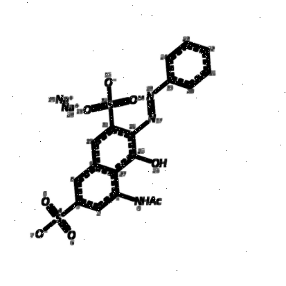 CC(=O)Nc1cc(S(=O)(=O)[O-])cc2cc(S(=O)(=O)[O-])c(/N=N/c3ccccc3)c(O)c12.[Na+].[Na+]